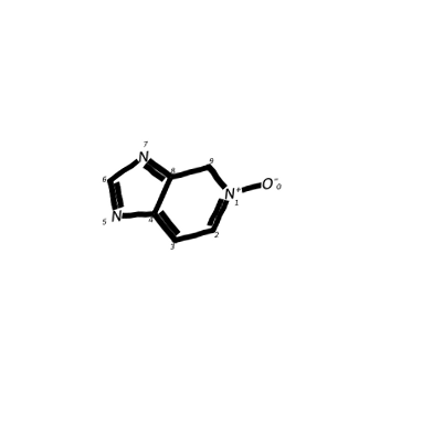 [O-][N+]1=CC=C2N=CN=C2C1